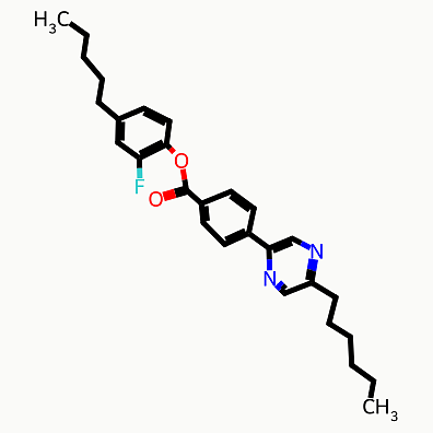 CCCCCCc1cnc(-c2ccc(C(=O)Oc3ccc(CCCCC)cc3F)cc2)cn1